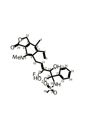 C=Cc1c(C)c2c(c(NC)c1C/C=C(/C(O)C(NS(C)(=O)=O)(C(=O)O)c1ccccc1)C(F)(F)F)C(=O)OC2